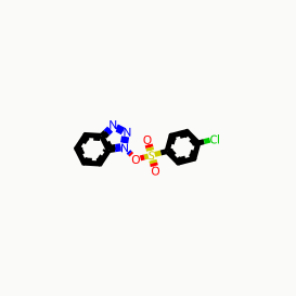 O=S(=O)(On1nnc2ccccc21)c1ccc(Cl)cc1